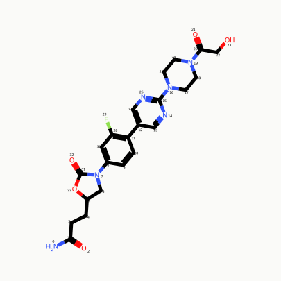 NC(=O)CCC1CN(c2ccc(-c3cnc(N4CCN(C(=O)CO)CC4)nc3)c(F)c2)C(=O)O1